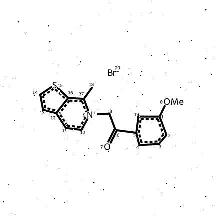 COc1cccc(C(=O)C[n+]2ccc3ccsc3c2C)c1.[Br-]